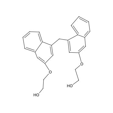 OCCOc1cc(Cc2cc(OCCO)cc3ccccc23)c2ccccc2c1